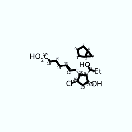 C1CC2CC2C1.CCC(O)[C@H]1[C@@H](CC=CCCCC(=O)O)[C@H](Cl)C[C@H]1O